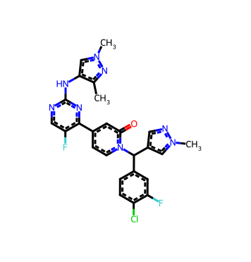 Cc1nn(C)cc1Nc1ncc(F)c(-c2ccn(C(c3ccc(Cl)c(F)c3)c3cnn(C)c3)c(=O)c2)n1